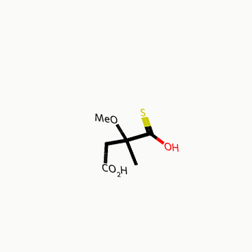 COC(C)(CC(=O)O)C(O)=S